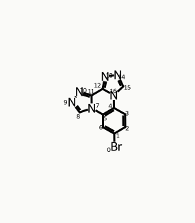 Brc1ccc2c(c1)n1cnnc1c1nncn21